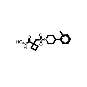 Cc1ccccc1C1CCN(S(=O)(=O)CC2(C(=O)NO)CCC2)CC1